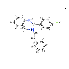 Fc1ccc(C2N=c3ccccc3=CN2CCc2ccccc2)cc1